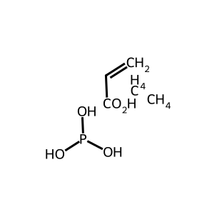 C.C.C=CC(=O)O.OP(O)O